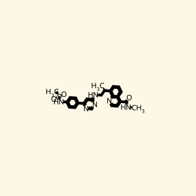 CNC(=O)c1ccnc2c([C@H](C)CNc3cc(-c4ccc(NS(C)(=O)=O)cc4)ncn3)cccc12